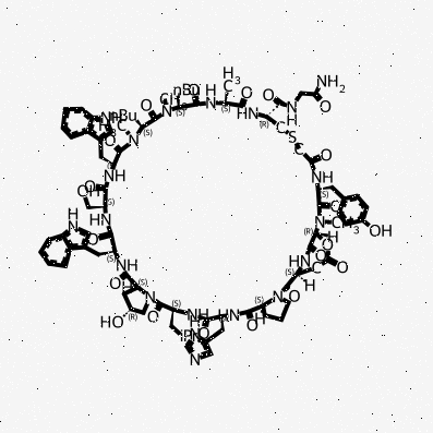 CCCC[C@H]1C(=O)N(C)[C@@H](CCCC)C(=O)N[C@@H](C)C(=O)N[C@H](C(=O)NCC(N)=O)CSCC(=O)N[C@@H](Cc2ccc(O)cc2)C(=O)N(C)[C@@H]2OC(=O)C[C@H](NC2=O)C(=O)N2CCC[C@H]2C(=O)N[C@@H](Cc2cnc[nH]2)C(=O)N[C@@H](CC(C)C)C(=O)N2C[C@H](O)C[C@H]2C(=O)N[C@@H](Cc2c[nH]c3ccccc23)C(=O)N[C@@H](CO)C(=O)N[C@@H](Cc2c[nH]c3ccccc23)C(=O)N1C